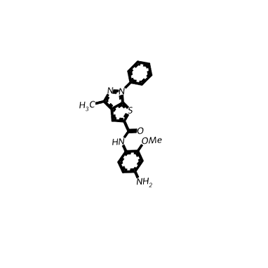 COc1cc(N)ccc1NC(=O)c1cc2c(C)nn(-c3ccccc3)c2s1